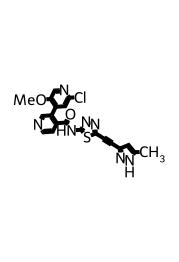 COc1cnc(Cl)cc1-c1cnccc1C(=O)Nc1nnc(C#Cc2cc(C)[nH]n2)s1